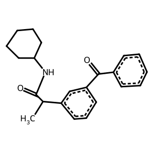 CC(C(=O)NC1CCCCC1)c1cccc(C(=O)c2ccccc2)c1